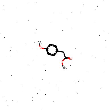 CC(C)(C)OC(=O)Cc1ccc(OC(F)(F)F)cc1